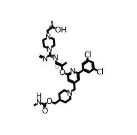 C=N/C(=N\C=C(/C)Oc1cc(CN2CCC(COC(=O)NC)CC2)cc(-c2cc(Cl)cc(Cl)c2)n1)N1CCN(C[C@@H](C)O)CC1